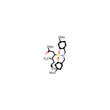 C=CC[C@@H](C)C(CC(=O)OC)S(=O)(=O)N(Cc1ccc(OC)cc1)Cc1ccc(OC)cc1